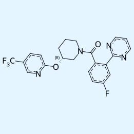 O=C(c1ccc(F)cc1-c1ncccn1)N1CCC[C@@H](Oc2ccc(C(F)(F)F)cn2)C1